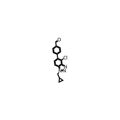 O=Cc1ccc(-c2ccc3c(nnn3CC3CC3)c2Cl)cc1